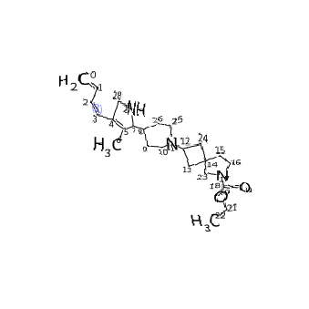 C=C/C=C\C1=C(C)C(C2CCN(C3CC4(CCN(C(=O)OCC)C4)C3)CC2)NC1